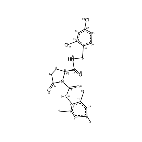 Cc1cc(C)c(NC(=O)N2C(=O)CC[C@H]2C(=O)NCc2ccc(Cl)cc2Cl)c(C)c1